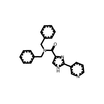 O=C(c1c[nH]c(-c2cccnc2)n1)N(Cc1ccccc1)Cc1ccccc1